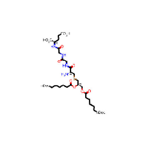 CCCCCCCCCCCCCCCC(=O)OC[C@H](CSC[C@H](N)C(=O)NCC(=O)NCC(=O)N[C@H](CCC(=O)O)C(=O)O)OC(=O)CCCCCCCCCCCCCCC